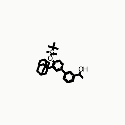 CC(O)c1cccc(-c2ccc(O[Si](C)(C)C(C)(C)C)c(C34CC5CC(CC(C5)C3)C4)c2)c1